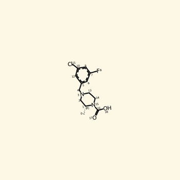 C[C@@H]1CN(Cc2cc(F)cc(Cl)c2)CCN1C(=O)O